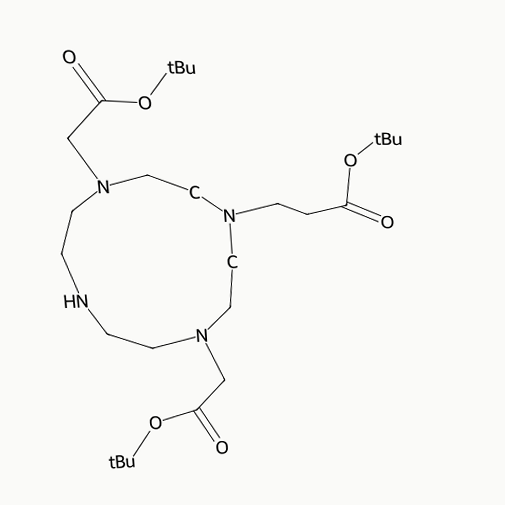 CC(C)(C)OC(=O)CCN1CCN(CC(=O)OC(C)(C)C)CCNCCN(CC(=O)OC(C)(C)C)CC1